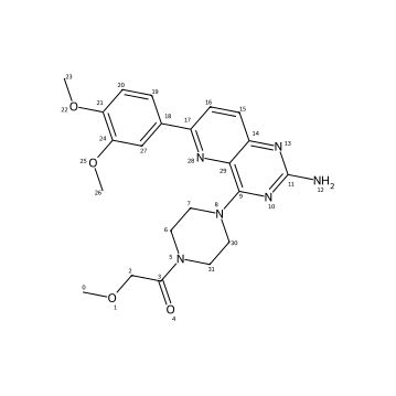 COCC(=O)N1CCN(c2nc(N)nc3ccc(-c4ccc(OC)c(OC)c4)nc23)CC1